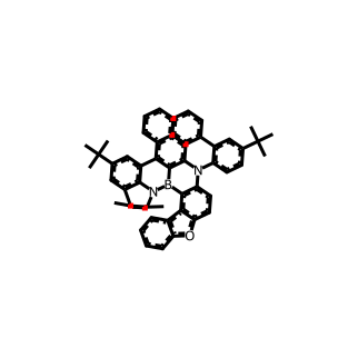 CC(C)(C)c1ccc(N2c3cc4ccccc4c4c3B(c3c2ccc2oc5ccccc5c32)N2c3c-4cc(C(C)(C)C)cc3C3(C)CCCCC23C)c(-c2ccccc2)c1